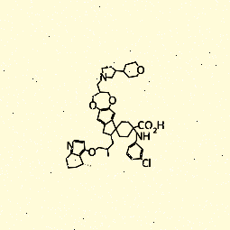 C[C@@H](COc1ccnc2c1[C@H](C)CCC2)C[C@H]1Cc2cc3c(cc2C12CCC(Nc1cccc(Cl)c1)(C(=O)O)CC2)OCC(CN1CCC(C2CCOCC2)C1)CO3